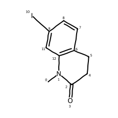 CN1C(=O)CCc2ccc(I)cc21